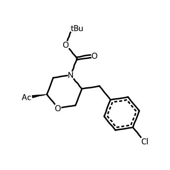 CC(=O)[C@H]1CN(C(=O)OC(C)(C)C)C(Cc2ccc(Cl)cc2)CO1